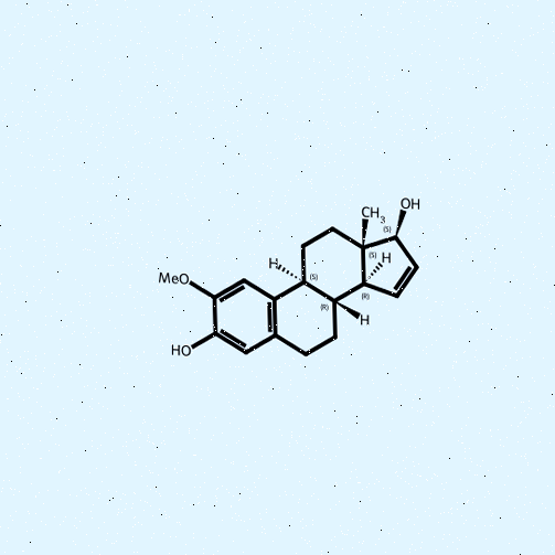 COc1cc2c(cc1O)CC[C@@H]1[C@@H]2CC[C@]2(C)[C@@H](O)C=C[C@@H]12